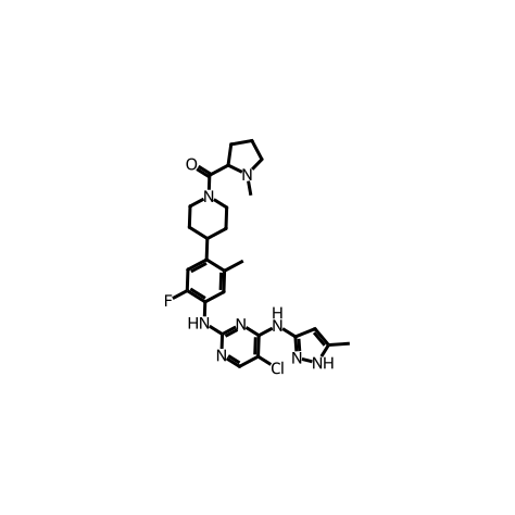 Cc1cc(Nc2nc(Nc3cc(C)c(C4CCN(C(=O)C5CCCN5C)CC4)cc3F)ncc2Cl)n[nH]1